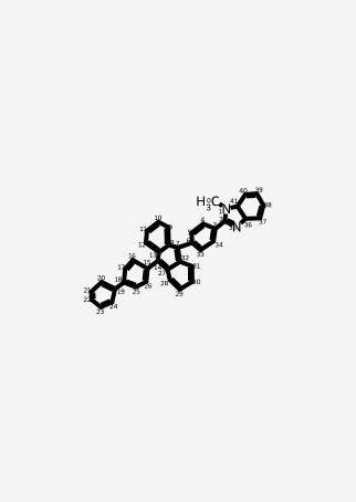 CN1C(c2ccc(-c3c4ccccc4c(-c4ccc(-c5ccccc5)cc4)c4ccccc34)cc2)=NC2C=CC=CC21